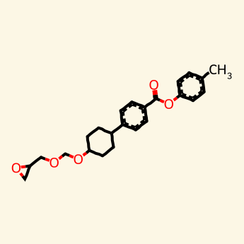 Cc1ccc(OC(=O)c2ccc(C3CCC(OCOCC4CO4)CC3)cc2)cc1